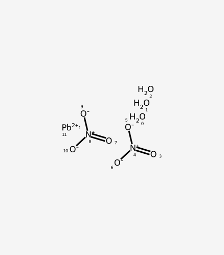 O.O.O.O=[N+]([O-])[O-].O=[N+]([O-])[O-].[Pb+2]